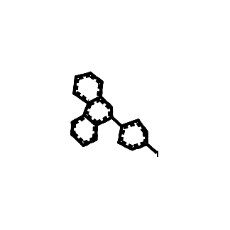 Ic1ccc(-c2cc3ccccc3c3ccccc23)cc1